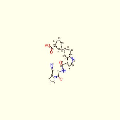 N#C[C@@H]1CCCN1C(=O)CNC(=O)c1ccnc2ccc(-c3cccc(C(=O)O)c3)cc12